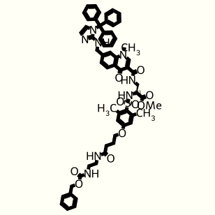 COC(=O)[C@H](CNC(=O)c1cn(C)c2cc(CNc3nccn3C(c3ccccc3)(c3ccccc3)c3ccccc3)ccc2c1=O)NS(=O)(=O)c1c(C)cc(OCCCC(=O)NCCNC(=O)OCc2ccccc2)cc1C